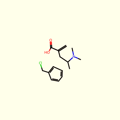 C=C(CC(C)N(C)C)C(=O)O.ClCc1ccccc1